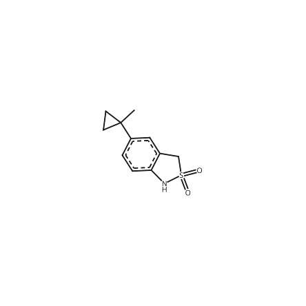 CC1(c2ccc3c(c2)CS(=O)(=O)N3)CC1